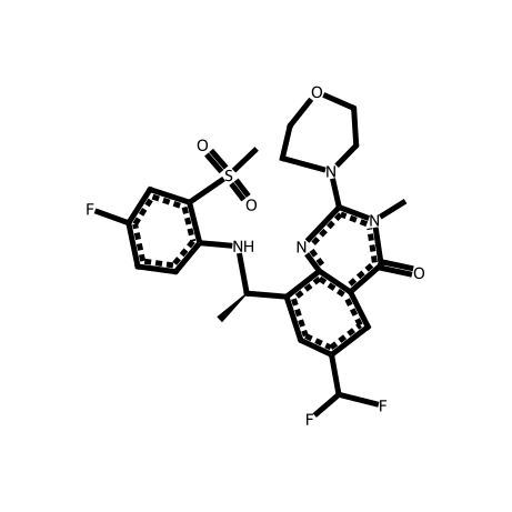 C[C@@H](Nc1ccc(F)cc1S(C)(=O)=O)c1cc(C(F)F)cc2c(=O)n(C)c(N3CCOCC3)nc12